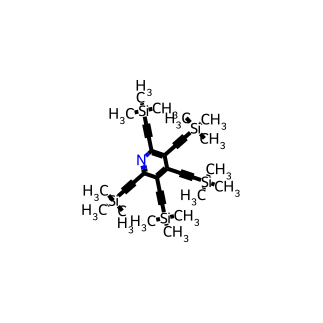 C[Si](C)(C)C#Cc1nc(C#C[Si](C)(C)C)c(C#C[Si](C)(C)C)c(C#C[Si](C)(C)C)c1C#C[Si](C)(C)C